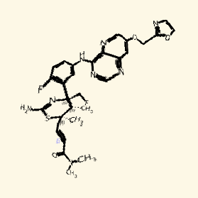 C[C@@H]1[C@@](C)(/C=C/C(=O)N(C)C)SC(N)=N[C@]1(CF)c1cc(Nc2ncnc3cc(OCc4ncco4)cnc23)ccc1F